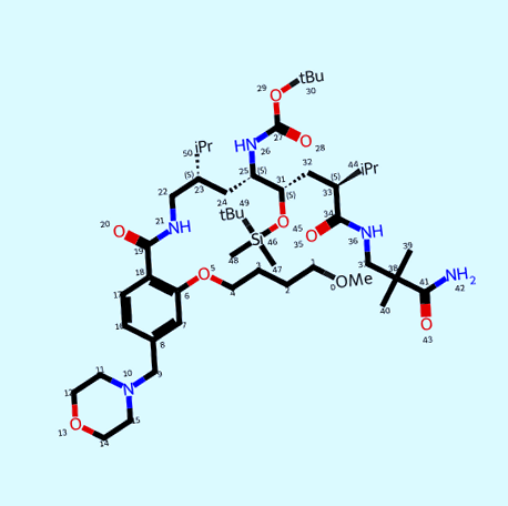 COCCCCOc1cc(CN2CCOCC2)ccc1C(=O)NC[C@@H](C[C@H](NC(=O)OC(C)(C)C)[C@H](C[C@H](C(=O)NCC(C)(C)C(N)=O)C(C)C)O[Si](C)(C)C(C)(C)C)C(C)C